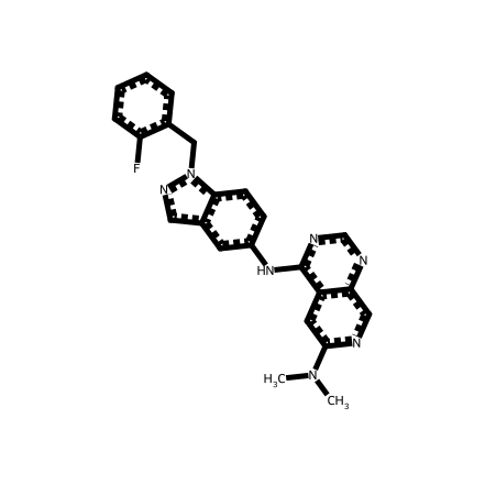 CN(C)c1cc2c(Nc3ccc4c(cnn4Cc4ccccc4F)c3)ncnc2cn1